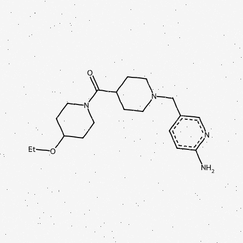 CCOC1CCN(C(=O)C2CCN(Cc3ccc(N)nc3)CC2)CC1